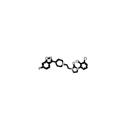 O=C1N(CCN2CCC(c3noc4cc(F)ccc34)CC2)CCN1c1cccc(Cl)c1Cl